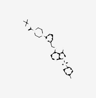 Cc1ccc(S(=O)(=O)n2cc(Br)c3c(NCc4cccc(N5CCN(C(=O)OC(C)(C)C)CC5)n4)ccnc32)cc1